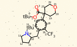 CC(C)(C)OC(=O)C1(c2ccc(CC3CCCN3C(C)(C)C)c(C(F)(F)F)c2)CCOCC1